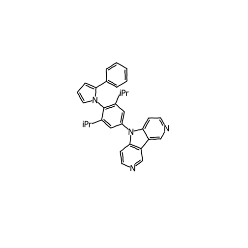 CC(C)c1cc(-n2c3ccncc3c3cnccc32)cc(C(C)C)c1-n1cccc1-c1ccccc1